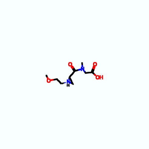 COCC[N@@]1CC1C(=O)N(C)CC(=O)O